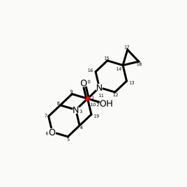 O=C(O)N1C2COCC1CC(N1CCC3(CC1)CC3)C2